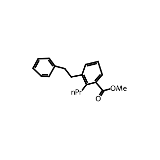 CCCc1c(CCc2ccccc2)cccc1C(=O)OC